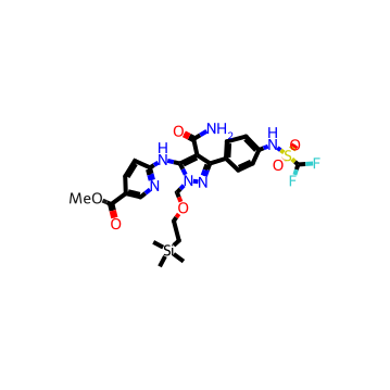 COC(=O)c1ccc(Nc2c(C(N)=O)c(-c3ccc(NS(=O)(=O)C(F)F)cc3)nn2COCC[Si](C)(C)C)nc1